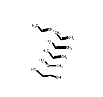 C=CC.C=CC.C=CC.C=CC.COC.OCCO